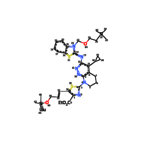 CCOC(=O)c1nc(N2CCCc3c2nnc(/N=c2\sc4ccccc4n2COCC[Si](C)(C)C)c3C2CC2)sc1/C=C/CO[Si](C)(C)C(C)(C)C